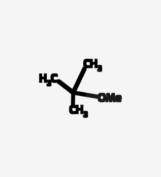 [CH2]OC(C)(C)C